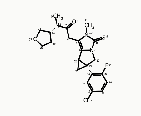 CN(C(=O)Cc1c2n(c(=S)n1C)C[C@@]1(c3cc(Cl)ccc3F)CC21)[C@@H]1CCOC1